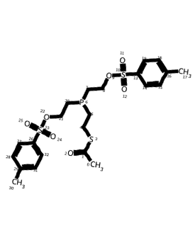 CC(=O)SCCP(CCOS(=O)(=O)c1ccc(C)cc1)CCOS(=O)(=O)c1ccc(C)cc1